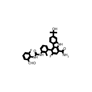 Cc1c(NC(=O)Nc2c(F)cccc2C=O)cccc1-c1c(F)cc(C(N)=O)c2[nH]c3cc(C(C)(C)O)ccc3c12